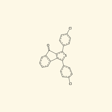 O=C1c2ccccc2-c2c(-c3ccc(Cl)cc3)sc(-c3ccc(Cl)cc3)c21